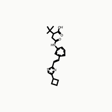 CC(C)(C)C(CC(=O)Nc1cccc(/C=C/c2nc(C3CCC3)cs2)c1)C(=O)O